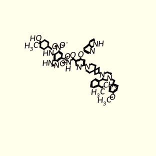 COc1ccc(CN2CCN(C3CC4(CCN(c5cc(Oc6cnc7[nH]ccc7c6)c(C(=O)NS(=O)(=O)c6cc([N+](=O)[O-])c(NCC7CCC(C)(O)CC7)c7[nH]cnc67)cn5)CC4)C3)C(c3ccccc3C(C)C)C2)cc1